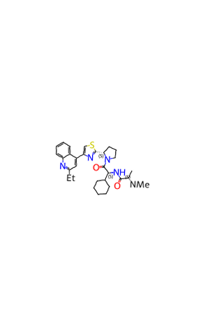 CCc1cc(-c2csc([C@@H]3CCCN3C(=O)[C@@H](NC(=O)[C@H](C)NC)C3CCCCC3)n2)c2ccccc2n1